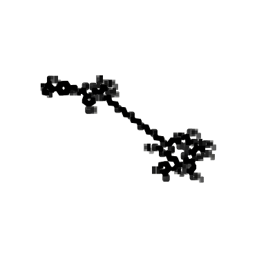 CCOC(=O)/C=C/[C@H](C[C@@H]1CCNC1=O)NC(=O)[C@H](CC(C)C)NC(=O)[C@@H](NC(=O)[C@H](C)NC(=O)CCOCCOCCOCCOCCOCCC(=O)N[C@H](C(=O)N1C[C@H](O)C[C@H]1C(=O)NCc1ccc(-c2scnc2C)cc1)C(C)(C)C)C(C)C